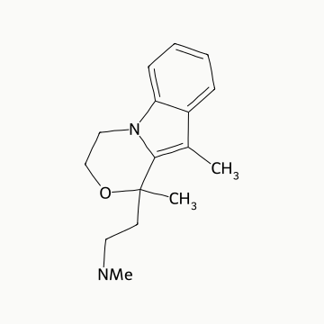 CNCCC1(C)OCCn2c1c(C)c1ccccc12